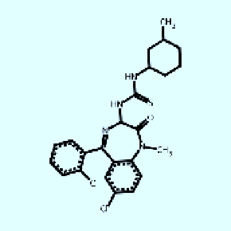 CC1CCCC(NC(=S)NC2N=C(c3ccccc3Cl)c3cc(Cl)ccc3N(C)C2=O)C1